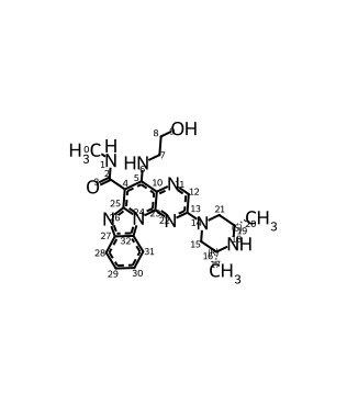 CNC(=O)c1c(NCCO)c2ncc(N3C[C@@H](C)N[C@@H](C)C3)nc2n2c1nc1ccccc12